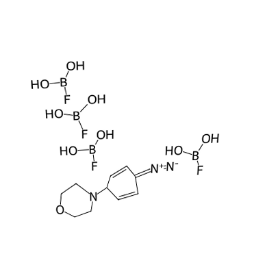 OB(O)F.OB(O)F.OB(O)F.OB(O)F.[N-]=[N+]=C1C=CC(N2CCOCC2)C=C1